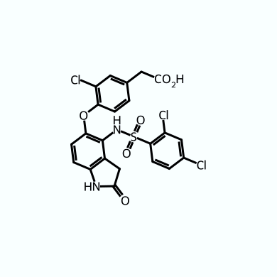 O=C(O)Cc1ccc(Oc2ccc3c(c2NS(=O)(=O)c2ccc(Cl)cc2Cl)CC(=O)N3)c(Cl)c1